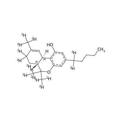 [2H]C([2H])([2H])C1=C[C@H]2c3c(O)cc(C([2H])([2H])CCCC)cc3OC(C([2H])([2H])[2H])(C([2H])([2H])[2H])[C@@H]2CC1([2H])[2H]